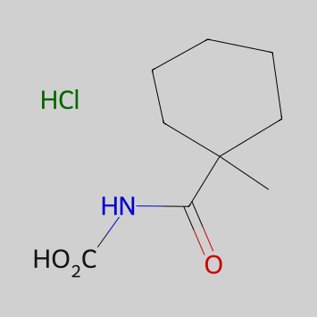 CC1(C(=O)NC(=O)O)CCCCC1.Cl